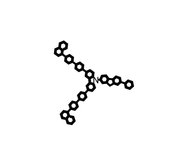 c1ccc(-c2ccc3c(c2)Cc2cc(-n4c5ccc(-c6ccc(-c7ccc(-c8cccc9ccccc89)cc7)cc6)cc5c5cc(-c6ccc(-c7ccc(-c8cccc9ccccc89)cc7)cc6)ccc54)ccc2-3)cc1